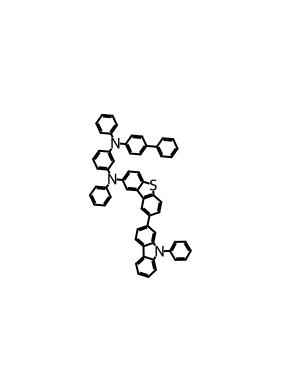 c1ccc(-c2ccc(N(c3ccccc3)c3cccc(N(c4ccccc4)c4ccc5sc6ccc(-c7ccc8c9ccccc9n(-c9ccccc9)c8c7)cc6c5c4)c3)cc2)cc1